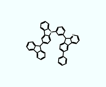 c1ccc(-c2ccc3c(c2)-c2cccnc2C3c2cccc(-n3c4ccccc4c4cc(C5c6ccccc6-c6ccccc65)ccc43)c2)cc1